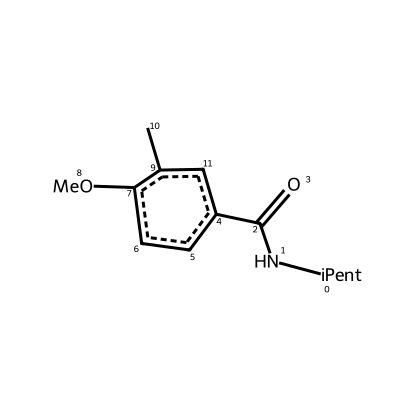 CCCC(C)NC(=O)c1ccc(OC)c(C)c1